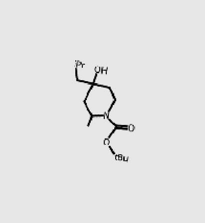 CC(C)CC1(O)CCN(C(=O)OC(C)(C)C)C(C)C1